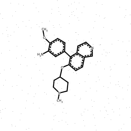 COc1ccc(-c2c(OC3CCN(C)CC3)ccc3cnccc23)cc1N